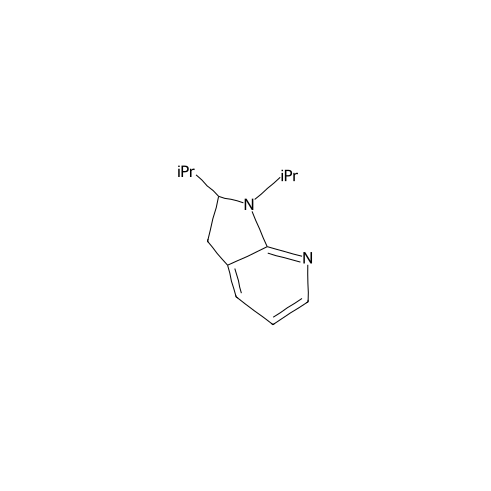 CC(C)C1Cc2cccnc2N1C(C)C